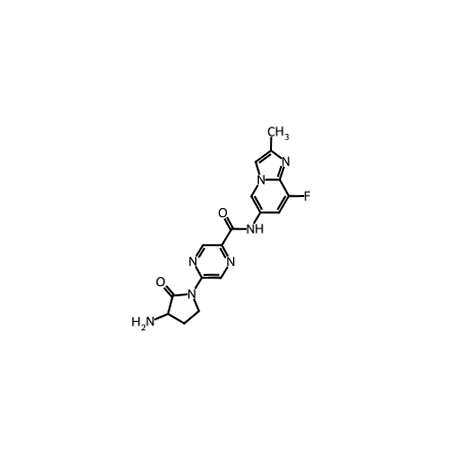 Cc1cn2cc(NC(=O)c3cnc(N4CCC(N)C4=O)cn3)cc(F)c2n1